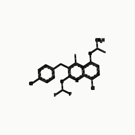 Cc1c(Cc2ccc(Cl)cc2)c(OC(F)F)nc2c(Cl)ccc(OC(C)C(=O)O)c12